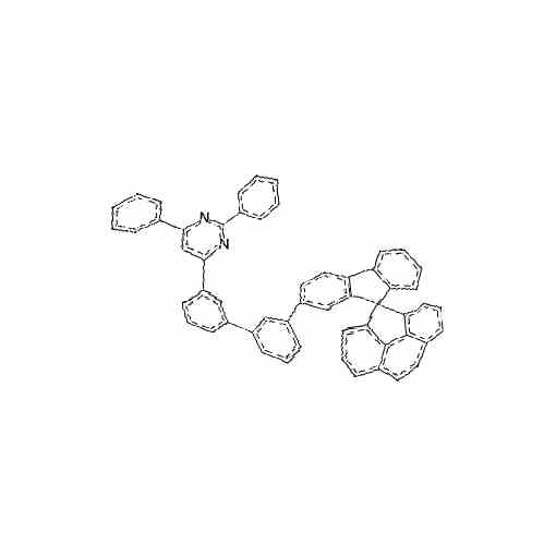 c1ccc(-c2cc(-c3cccc(-c4cccc(-c5ccc6c(c5)C5(c7ccccc7-6)c6cccc7ccc8cccc5c8c67)c4)c3)nc(-c3ccccc3)n2)cc1